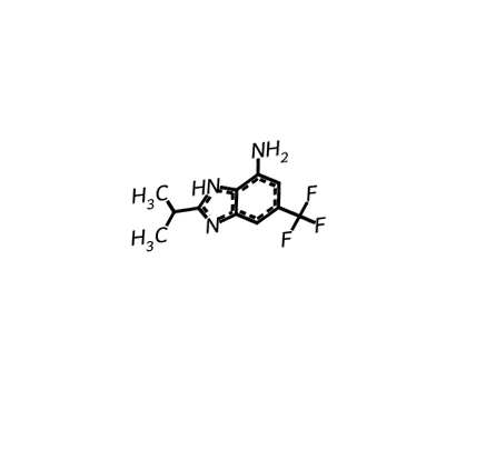 CC(C)c1nc2cc(C(F)(F)F)cc(N)c2[nH]1